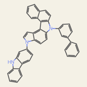 c1ccc(-c2cccc(-n3c4ccc5ccccc5c4c4c5ccn(-c6ccc7c(c6)[nH]c6ccccc67)c5ccc43)c2)cc1